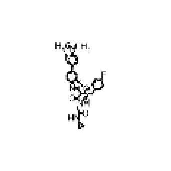 CN(C)c1ccc(-c2ccc3nc(C(C(=O)NCC(=O)NC4CC4)S(=O)(=O)Cc4ccc(F)cc4)sc3c2)cn1